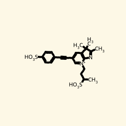 CC1=Nc2c(cc(C#Cc3ccc(S(=O)(=O)O)cc3)c[n+]2CCC(C)S(=O)(=O)O)C1(C)C